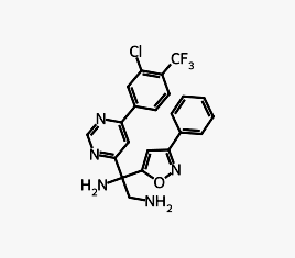 NCC(N)(c1cc(-c2ccc(C(F)(F)F)c(Cl)c2)ncn1)c1cc(-c2ccccc2)no1